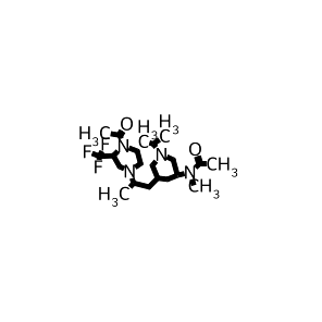 CC(=O)N(C)C1CC(CC(C)N2CCN(C(C)=O)C(C(F)(F)F)C2)CN(C(C)C)C1